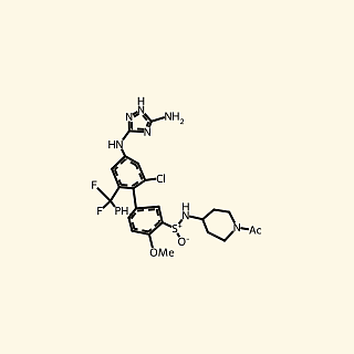 COc1ccc(-c2c(Cl)cc(Nc3n[nH]c(N)n3)cc2C(F)(F)P)cc1[S+]([O-])NC1CCN(C(C)=O)CC1